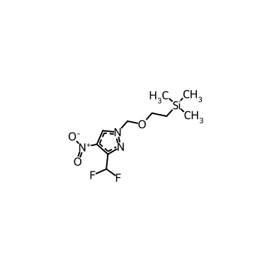 C[Si](C)(C)CCOCn1cc([N+](=O)[O-])c(C(F)F)n1